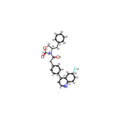 O=C(Cc1ccc(-c2ccnc3ccc(F)cc23)cc1)N1C(=O)OCC1Cc1ccccc1